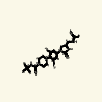 CC(=O)NCC1CN(c2cc(F)c(N3CCN(C(=O)OC(C)(C)C)CC3)c(F)c2)C(=O)O1